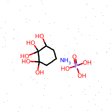 N.O=P(O)(O)O.OC1CCCC(O)(O)C1(O)O